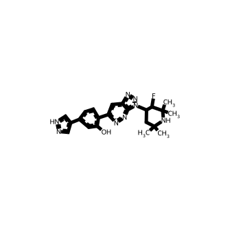 CC1(C)CC(n2nnc3cc(-c4ccc(-c5cn[nH]c5)cc4O)nnc32)C(F)C(C)(C)N1